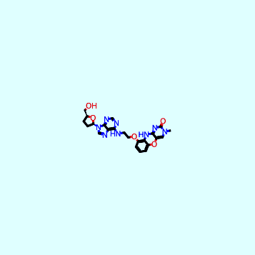 Cn1cc2c(nc1=O)Nc1c(OCCNc3ncnc4c3ncn4[C@H]3CC[C@@H](CO)O3)cccc1O2